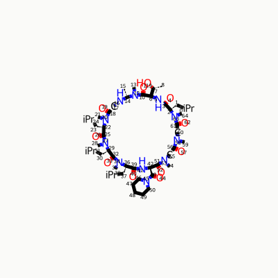 CC(C)C[C@H]1C(=O)NC([C@@H](C)O)C(=O)N(C)[C@@H](C)NCC(=O)N(C)[C@@H](CC(C)C)C(=O)N(C)[C@@H](CC(C)C)C(=O)N(C)[C@@H](CC(C)C)C(=O)N[C@H](C(=O)N2CCCCC2)C(=O)N(C)CC(=O)N(C)CC(=O)N1C